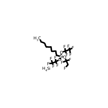 CCCCCCCC[Si](OC(F)(F)CF)(OC(F)(F)C(F)(F)F)OC(F)(F)C(F)(F)F.[SiH4]